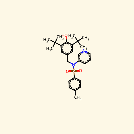 Cc1ccc(S(=O)(=O)N(Cc2cc(C(C)(C)C)c(O)c(C(C)(C)C)c2)c2cccnc2)cc1